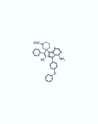 N#CC=C(c1ccccc1)C1(n2nc(-c3ccc(Oc4ccccc4)cc3)c3c(N)ncnc32)CCCN(C=O)C1